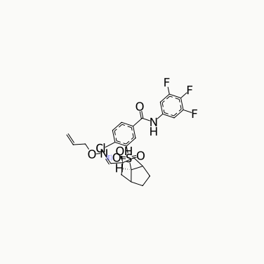 C=CCO/N=C/[C@]1(O)CC2CCC(C1)[C@H]2S(=O)(=O)c1cc(C(=O)Nc2cc(F)c(F)c(F)c2)ccc1Cl